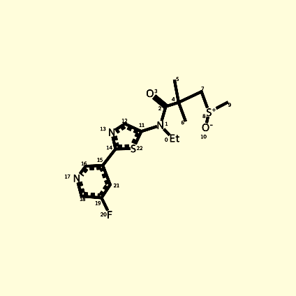 CCN(C(=O)C(C)(C)C[S+](C)[O-])c1cnc(-c2cncc(F)c2)s1